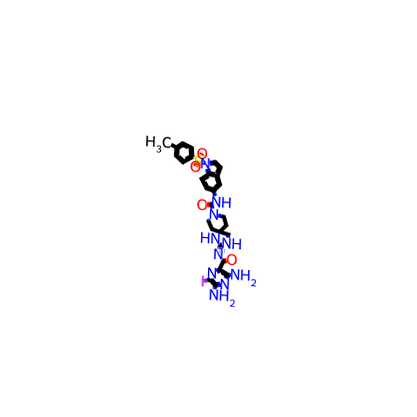 Cc1ccc(S(=O)(=O)n2ccc3cc(NC(=O)N4CCC5(CC4)CN/C(=N\C(=O)c4nc(I)c(N)nc4N)N5)ccc32)cc1